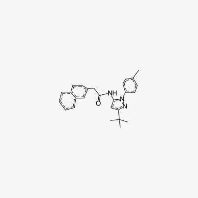 Cc1ccc(-n2nc(C(C)(C)C)cc2NC(=O)Cc2ccc3ccccc3c2)cc1